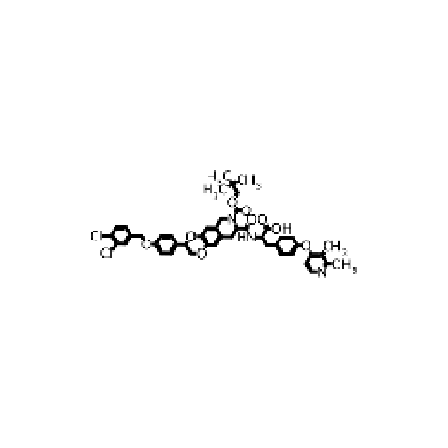 Cc1nccc(Oc2ccc(CC(NC(=O)C3Cc4cc5c(cc4CN3C(=O)OCC(C)(C)C)OC(c3ccc(OCc4ccc(Cl)c(Cl)c4)cc3)CO5)C(=O)O)cc2)c1C